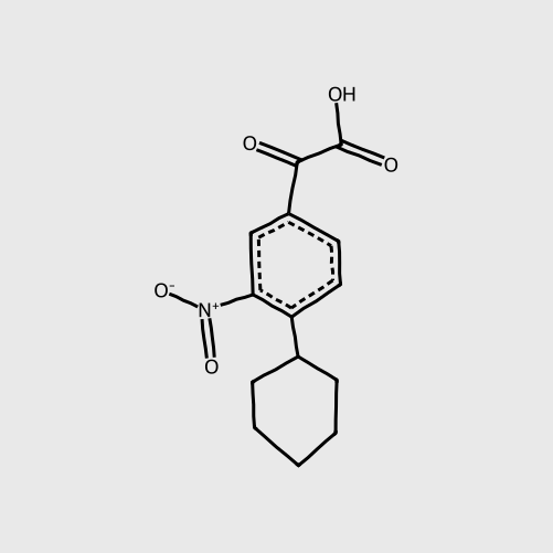 O=C(O)C(=O)c1ccc(C2CCCCC2)c([N+](=O)[O-])c1